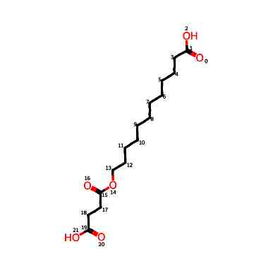 O=C(O)CCCCCCCCCCCOC(=O)CCC(=O)O